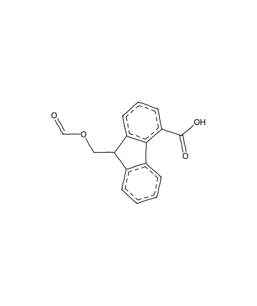 O=[C]OCC1c2ccccc2-c2c(C(=O)O)cccc21